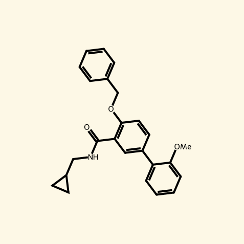 COc1ccccc1-c1ccc(OCc2ccccc2)c(C(=O)NCC2CC2)c1